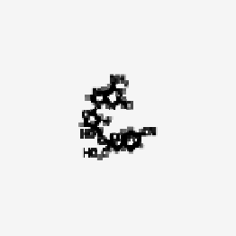 N#Cc1ccc(CC(OC[C@]2(O)CO[C@@H](n3cnc4c(N)nc(Cl)nc43)[C@H]2F)(C(=O)O)C(=O)O)cc1